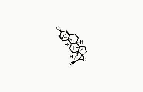 C[C@]12CCC(=O)C=C1CC[C@@H]1[C@@H]2CC[C@@]2(C)[C@H]1CC[C@@]21OC1C#N